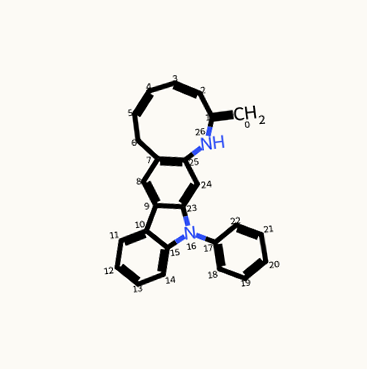 C=C1/C=C\C=C/Cc2cc3c4ccccc4n(-c4ccccc4)c3cc2N1